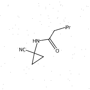 CC(C)CC(=O)NC1(C#N)CC1